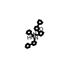 c1ccc(-c2cccc(C3=NC(c4cccc5oc6c(-c7ccccc7)cccc6c45)=NC(c4ccccc4)N3)c2)cc1